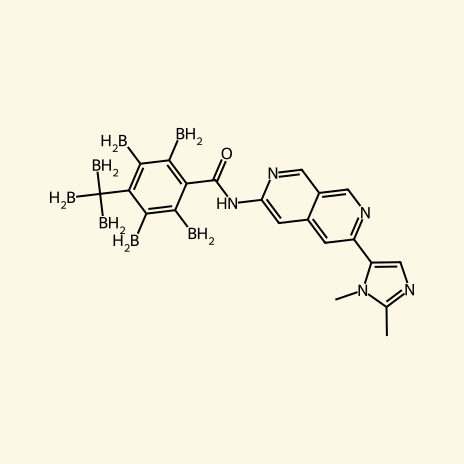 Bc1c(B)c(C(B)(B)B)c(B)c(B)c1C(=O)Nc1cc2cc(-c3cnc(C)n3C)ncc2cn1